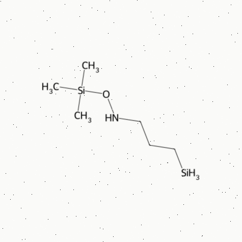 C[Si](C)(C)ONCCC[SiH3]